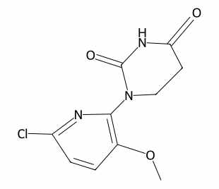 COc1ccc(Cl)nc1N1CCC(=O)NC1=O